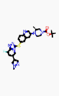 C[C@H]1CN(C(=O)OC(C)(C)C)CCN1c1cnc2ccc(Sc3nnc4c(F)cc(-c5cnn(C)c5)cn34)cc2c1